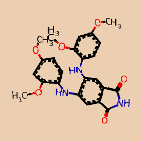 COc1ccc(Nc2cc3c(cc2Nc2ccc(OC)cc2OC)C(=O)NC3=O)c(OC)c1